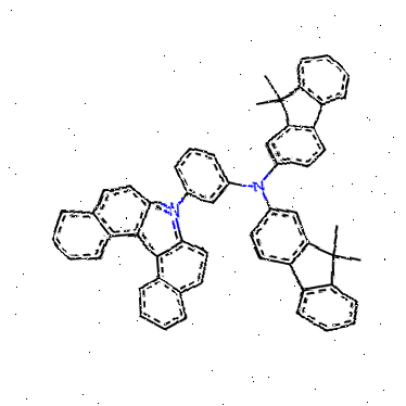 CC1(C)c2ccccc2-c2ccc(N(c3cccc(-n4c5ccc6ccccc6c5c5c6ccccc6ccc54)c3)c3ccc4c(c3)C(C)(C)c3ccccc3-4)cc21